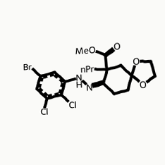 CCCC1(C(=O)OC)CC2(CCC1=NNc1cc(Br)cc(Cl)c1Cl)OCCO2